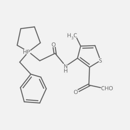 Cc1csc(C(=O)C=O)c1NC(=O)C[PH]1(Cc2ccccc2)CCCC1